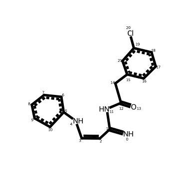 N=C(/C=C\Nc1ccccc1)NC(=O)Cc1cccc(Cl)c1